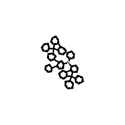 c1ccc(-c2ccc(N(c3ccccc3)c3cccc4c3-c3ccccc3C4(c3ccccc3)c3ccccc3)cc2-c2cccc(C3(c4ccccc4)c4ccccc4-c4ccccc43)c2)cc1